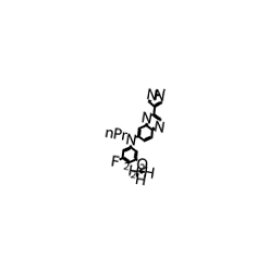 [2H]C([2H])([2H])Oc1cc(F)cc(N(CCC)c2ccc3ncc(-c4cnn(C)c4)nc3c2)c1